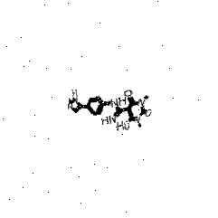 Cn1c(O)c(C(=N)Nc2ccc(-c3cnn[nH]3)cc2)c(=O)n(C)c1=O